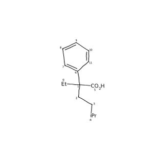 CCC(CCC(C)C)(C(=O)O)c1ccccc1